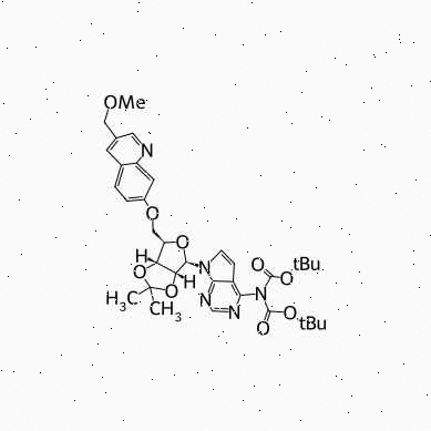 COCc1cnc2cc(OC[C@H]3O[C@@H](n4ccc5c(N(C(=O)OC(C)(C)C)C(=O)OC(C)(C)C)ncnc54)[C@@H]4OC(C)(C)O[C@@H]43)ccc2c1